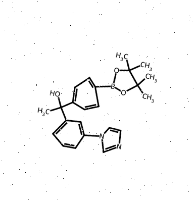 CC(O)(c1ccc(B2OC(C)(C)C(C)(C)O2)cc1)c1cccc(-n2ccnc2)c1